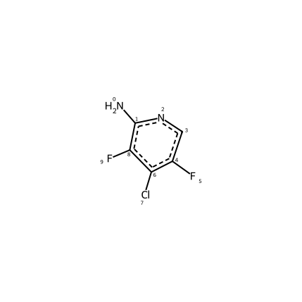 Nc1ncc(F)c(Cl)c1F